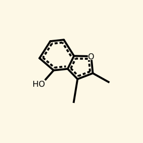 Cc1oc2cccc(O)c2c1C